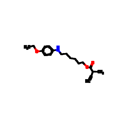 C#CC(C)C(=O)OCCCCCCNc1ccc(OCC)cc1